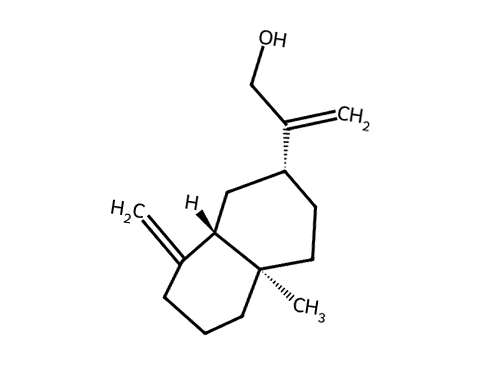 C=C(CO)[C@@H]1CC[C@@]2(C)CCCC(=C)[C@@H]2C1